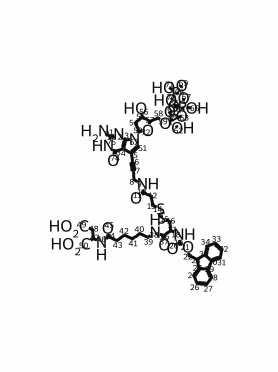 Nc1nc2c(c(C#CCNC(=O)CCSSCC(NC(=O)OCC3c4ccccc4-c4ccccc43)C(=O)NCCCCCC(=O)NC(CC(=O)O)C(=O)O)cn2C2CC(O)C(COP(=O)(O)OP(=O)(O)OP(=O)(O)O)O2)c(=O)[nH]1